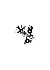 O=C(Cn1nc(C(F)F)c(C2CC2)c1C(F)F)N[C@@H](Cc1cc(F)cc(F)c1)c1ncncc1-c1ccc2cnccc2c1